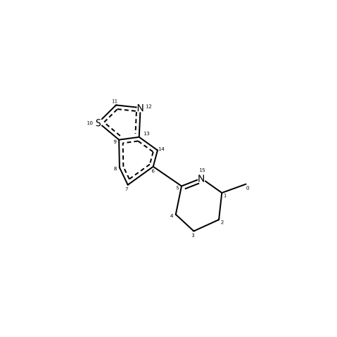 CC1CCCC(c2ccc3scnc3c2)=N1